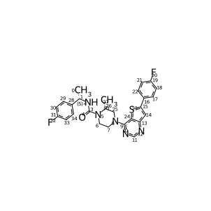 C[C@H](NC(=O)N1CCN(c2ncnc3cc(-c4ccc(F)cc4)sc23)C[C@H]1C)c1ccc(F)cc1